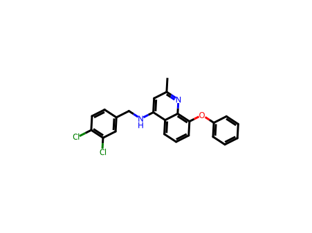 Cc1cc(NCc2ccc(Cl)c(Cl)c2)c2cccc(Oc3ccccc3)c2n1